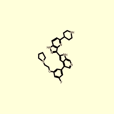 Fc1cc(OCCN2CCCC2)cc(-c2cncc3[nH]c(-c4n[nH]c5ccc(C6CCNCC6)nc45)cc23)c1